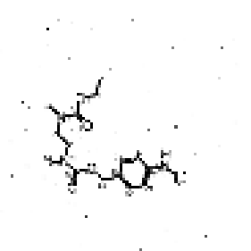 CCOC(=O)N(C)CCN(C)C(=O)OCc1ccc(NI)cc1